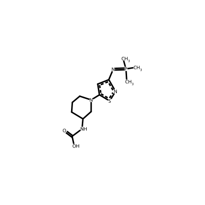 CP(C)(C)=Nc1cc(N2CCCC(NC(=O)O)C2)sn1